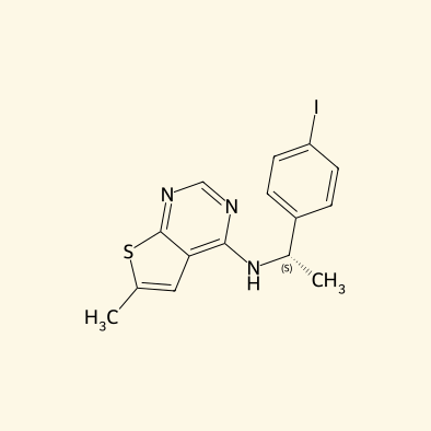 Cc1cc2c(N[C@@H](C)c3ccc(I)cc3)ncnc2s1